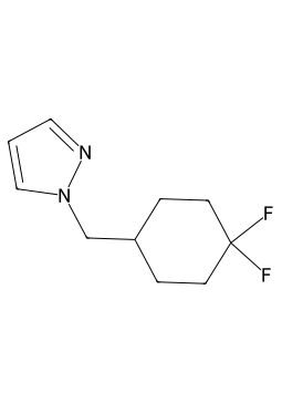 FC1(F)CCC(Cn2cccn2)CC1